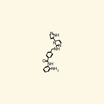 Nc1ccccc1NC(=O)c1ccc(CNc2nccc(-c3ccn[nH]3)n2)cc1